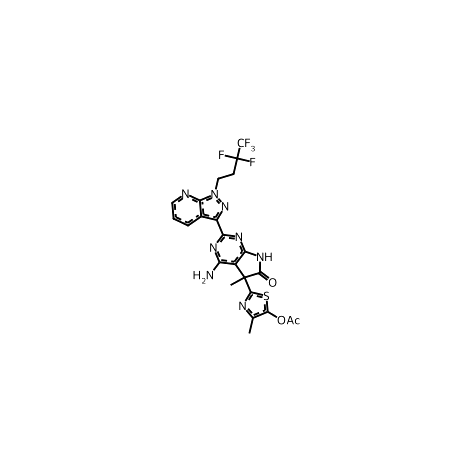 CC(=O)Oc1sc(C2(C)C(=O)Nc3nc(-c4nn(CCC(F)(F)C(F)(F)F)c5ncccc45)nc(N)c32)nc1C